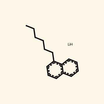 CCCCCCc1cccc2ccccc12.[LiH]